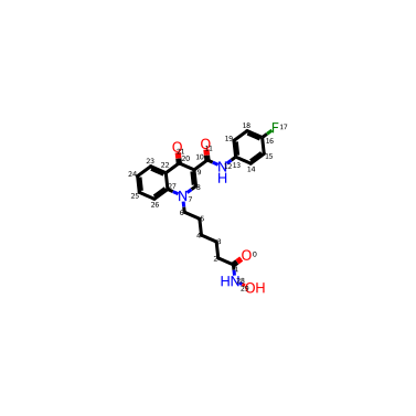 O=C(CCCCCn1cc(C(=O)Nc2ccc(F)cc2)c(=O)c2ccccc21)NO